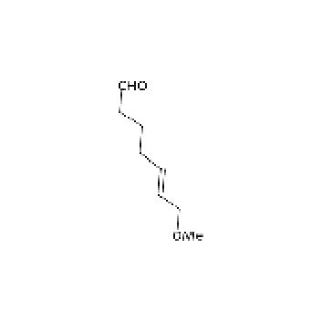 COC/C=C/CCCC=O